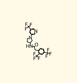 O=C(Cc1ccc(C(F)(F)F)cc1C(F)(F)F)NC1CCN(c2cncc(C(F)(F)F)c2)C1